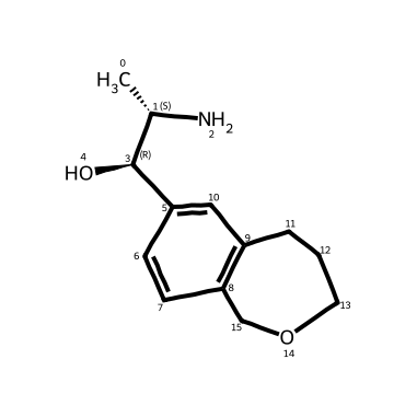 C[C@H](N)[C@H](O)c1ccc2c(c1)CCCOC2